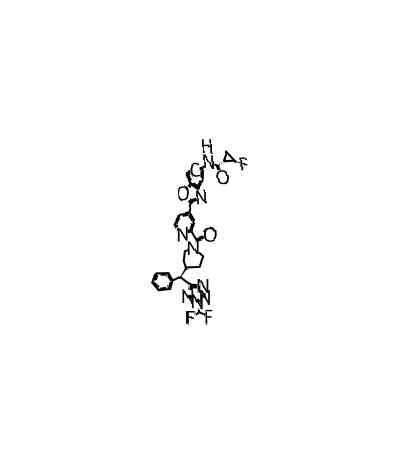 O=C(Nc1ccc2oc(-c3ccnc(C(=O)N4CCC([C@H](c5ccccc5)c5nnn(C(F)F)n5)CC4)c3)nc2c1)[C@@H]1C[C@@H]1F